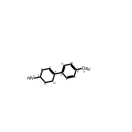 CCCC1CC=C(c2ccc(OC(C)=O)cc2)CC1